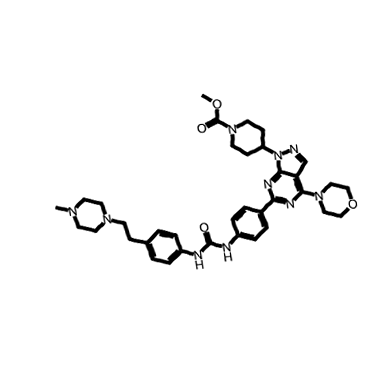 COC(=O)N1CCC(n2ncc3c(N4CCOCC4)nc(-c4ccc(NC(=O)Nc5ccc(CCN6CCN(C)CC6)cc5)cc4)nc32)CC1